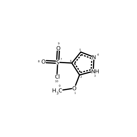 COc1[nH]ncc1S(=O)(=O)Cl